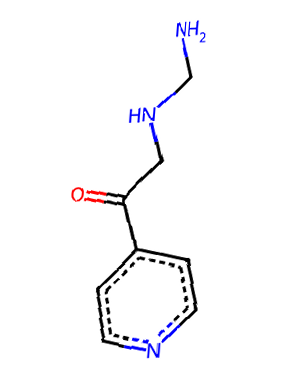 NCNCC(=O)c1ccncc1